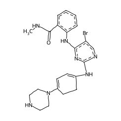 CNC(=O)c1ccccc1Nc1nc(NC2=CC=C(N3CCNCC3)CC2)ncc1Br